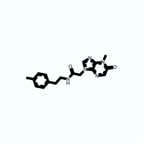 Cc1ccc(CCNC(=O)Cn2cnc3c2ncc(=O)n3C)cc1